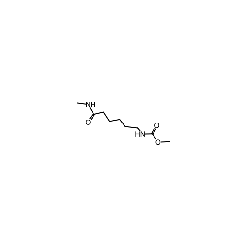 CNC(=O)CCCCCNC(=O)OC